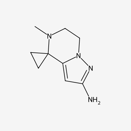 CN1CCn2nc(N)cc2C12CC2